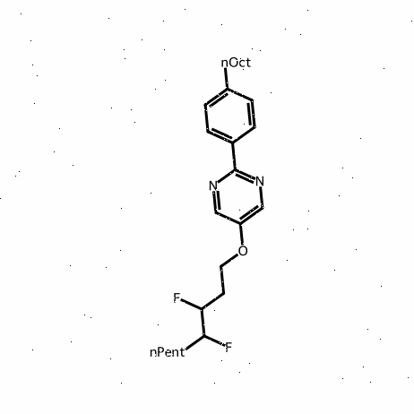 CCCCCCCCc1ccc(-c2ncc(OCCC(F)C(F)CCCCC)cn2)cc1